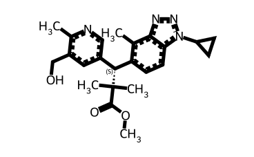 COC(=O)C(C)(C)[C@H](c1cnc(C)c(CO)c1)c1ccc2c(nnn2C2CC2)c1C